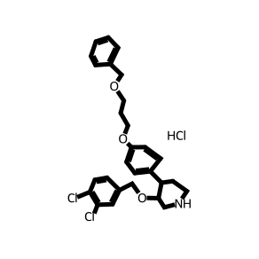 Cl.Clc1ccc(COC2CNCCC2c2ccc(OCCCOCc3ccccc3)cc2)cc1Cl